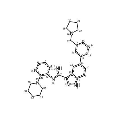 c1cc2[nH]c(-c3n[nH]c4ccc(-c5cncc(CN6CCCC6)c5)cc34)nc2c(N2CCCCC2)n1